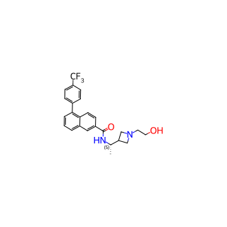 C[C@H](NC(=O)c1ccc2c(-c3ccc(C(F)(F)F)cc3)cccc2c1)C1CN(CCO)C1